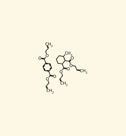 C=CCOC(=O)C1CCCC(C)C1C(=O)OCC=C.C=CCOC(=O)c1ccc(C(=O)OCC=C)cc1